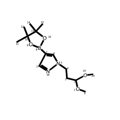 COC(CCn1cc(B2OC(C)(C)C(C)(C)O2)cn1)OC